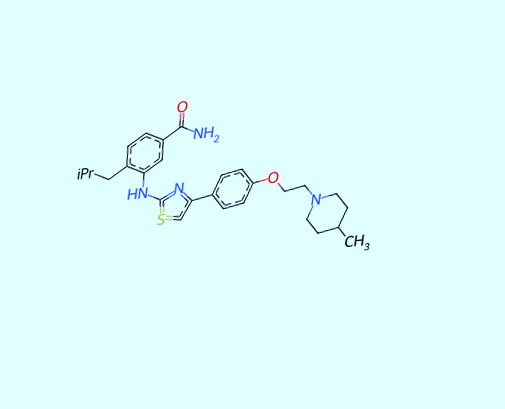 CC(C)Cc1ccc(C(N)=O)cc1Nc1nc(-c2ccc(OCCN3CCC(C)CC3)cc2)cs1